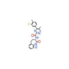 Cc1ccc(-c2nc(C(=O)N(C)[C@H]3CCc4ccccc4NC3=O)ncc2C)cc1F